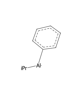 C[CH](C)[Al][c]1ccccc1